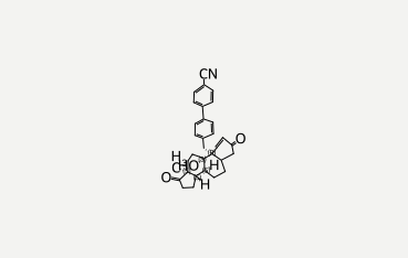 C[C@]12CC[C@]3(O)[C@@H](CCC4CC(=O)C=C[C@@]43Cc3ccc(-c4ccc(C#N)cc4)cc3)[C@@H]1CCC2=O